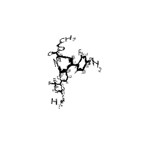 CCOC(=O)c1cc(-c2ccc(P)cc2F)c2c(n1)OC(C(OC(=S)SC)C(F)(F)F)CC2